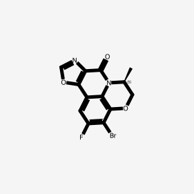 C[C@H]1COc2c(Br)c(F)cc3c4ocnc4c(=O)n1c23